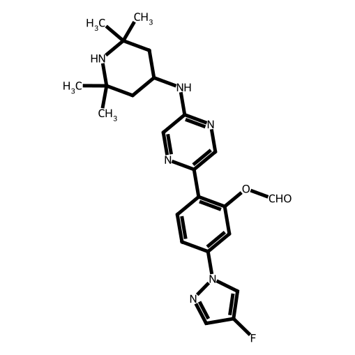 CC1(C)CC(Nc2cnc(-c3ccc(-n4cc(F)cn4)cc3OC=O)cn2)CC(C)(C)N1